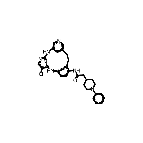 O=C(CC1CCN(c2ccccc2)CC1)Nc1ccc2cc1CCc1cncc(c1)Nc1ncc(Cl)c(n1)N2